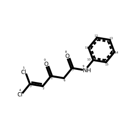 O=C(C=C(Cl)Cl)CC(=O)Nc1ccccc1